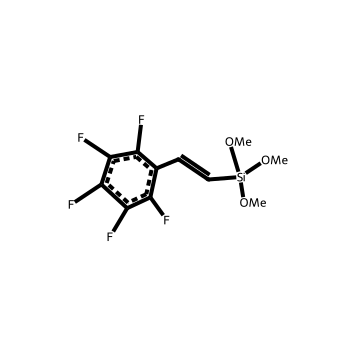 CO[Si](C=Cc1c(F)c(F)c(F)c(F)c1F)(OC)OC